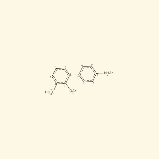 CC(=O)Nc1ccc(-c2cccc(C(=O)O)c2OC(C)=O)cc1